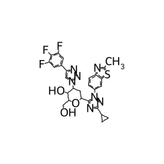 Cc1nc2ccc(-n3nc(C4CC4)nc3C3CC(n4cc(-c5cc(F)c(F)c(F)c5)nn4)C(O)C(CO)O3)cc2s1